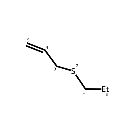 [CH2]CCSCC=C